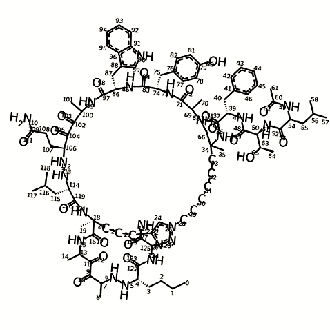 CCCC[C@H](NNC(C)C(=O)C(=O)C(C)NC(=O)[C@]1(C)CCCc2cn(nn2)CCCCCCC(C)(NC(=O)[C@H](Cc2ccccc2)NC(=O)[C@@H](NC(=O)[C@H](CC(C)C)NC(C)=O)[C@@H](C)O)C(=O)NC(C)C(=O)N[C@@H](Cc2ccc(O)cc2)C(=O)N[C@@H](Cc2c[nH]c3ccccc23)C(=O)NC(C)C(=O)C(=O)[C@H](CCC(N)=O)NN[C@@H](CC(C)C)C(=O)N1)C(=O)NC(C)C(N)=O